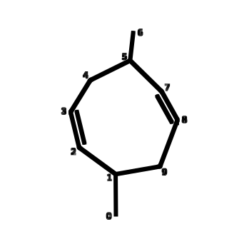 CC1C=CCC(C)C=[C]C1